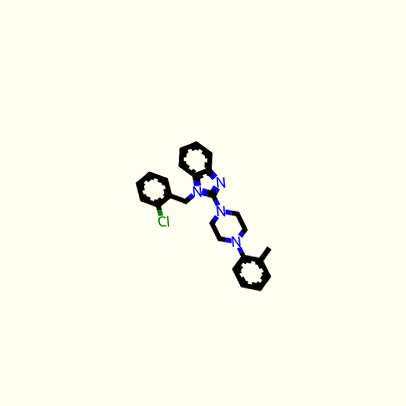 Cc1ccccc1N1CCN(c2nc3ccccc3n2Cc2ccccc2Cl)CC1